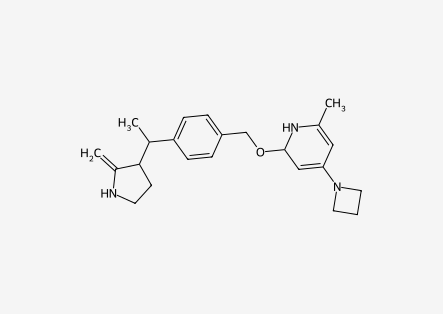 C=C1NCCC1C(C)c1ccc(COC2C=C(N3CCC3)C=C(C)N2)cc1